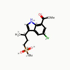 COC(=O)c1cc(Br)cc2c(C(C)CCS(=O)(=O)C(C)(C)C)c[nH]c12